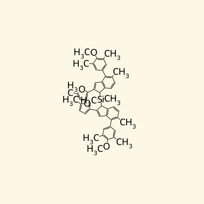 COc1c(C)cc(-c2c(C)ccc3c2C=C(c2ccc(C)o2)C3[Si](C)(C)C2C(c3ccc(C)o3)=Cc3c2ccc(C)c3-c2cc(C)c(OC)c(C)c2)cc1C